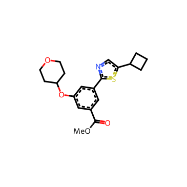 COC(=O)c1cc(OC2CCOCC2)cc(-c2ncc(C3CCC3)s2)c1